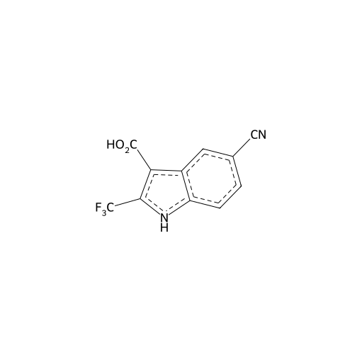 N#Cc1ccc2[nH]c(C(F)(F)F)c(C(=O)O)c2c1